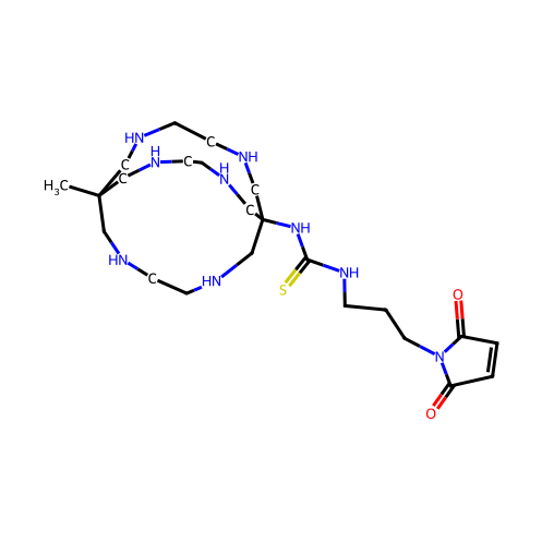 CC12CNCCNCC(NC(=S)NCCCN3C(=O)C=CC3=O)(CNCCNC1)CNCCNC2